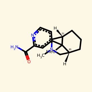 COC1(c2ccnc(C(N)=O)c2)[C@@H]2CCC[C@H]1CN(C)C2